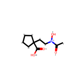 CC(=O)N(O)CCC1(C(=O)O)CCCC1